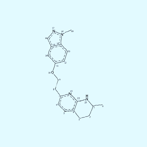 CC1CCc2ccc(CCOc3ccc4c(cnn4C)c3)nc2N1